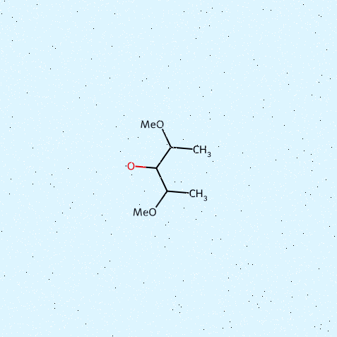 COC(C)C([O])C(C)OC